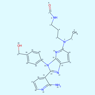 CCN(CCCNC=O)c1ccc2nc(-c3cccnc3N)n(-c3ccc(CO)cc3)c2n1